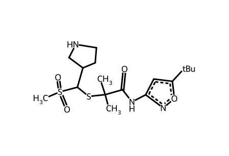 CC(C)(SC(C1CCNC1)S(C)(=O)=O)C(=O)Nc1cc(C(C)(C)C)on1